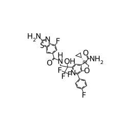 NC(=O)[C@@]1(C2CC2)COc2c1cc(C(O)(CNC(=O)c1cc(F)c3nc(N)sc3c1)C(F)(F)F)nc2-c1ccc(F)cc1